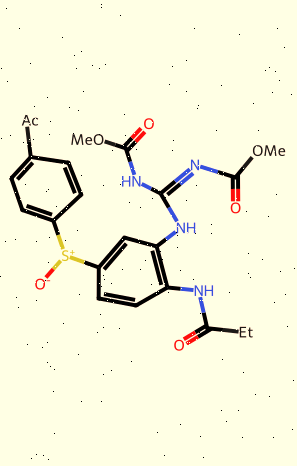 CCC(=O)Nc1ccc([S+]([O-])c2ccc(C(C)=O)cc2)cc1NC(=NC(=O)OC)NC(=O)OC